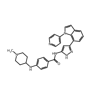 CN1CCC(Nc2ccc(C(=O)Nc3cc(-c4cccc5ccn(-c6ccncc6)c45)n[nH]3)cc2)CC1